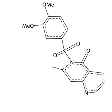 COc1ccc(S(=O)(=O)n2c(C)cc3ncccc3c2=O)cc1OC